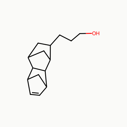 OCCCC1CC2CC1C1C3C=CC(C3)C21